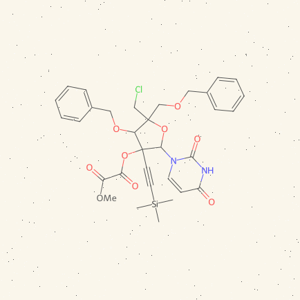 COC(=O)C(=O)OC1(C#C[Si](C)(C)C)C(n2ccc(=O)[nH]c2=O)OC(CCl)(COCc2ccccc2)C1OCc1ccccc1